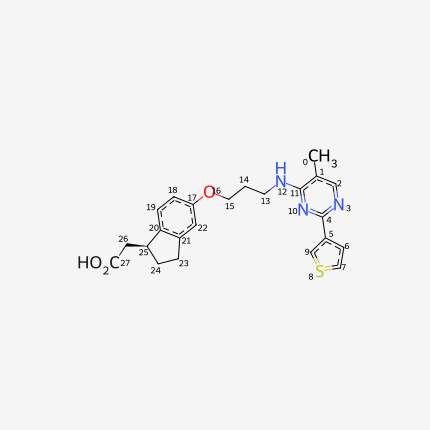 Cc1cnc(-c2ccsc2)nc1NCCCOc1ccc2c(c1)CC[C@H]2CC(=O)O